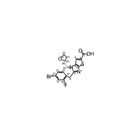 O=C(O)c1cc2c(nc(Cc3ccc(Br)cc3F)n2C[C@H]2CCO2)s1